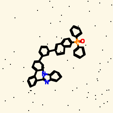 O=P(c1ccccc1)(c1ccccc1)c1ccc2cc(-c3cccc(-c4ccc5c6ccccc6c6nc7ccccc7n6c5c4)c3)ccc2c1